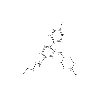 CCCCNc1ncc(-c2ccc(F)cn2)c(NC2CCC(O)CC2)n1